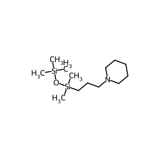 C[Si](C)(C)O[Si](C)(C)CCCN1CCCCC1